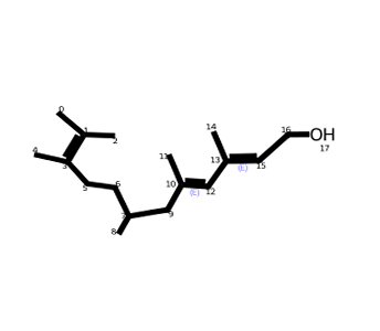 CC(C)=C(C)CCC(C)C/C(C)=C/C(C)=C/CO